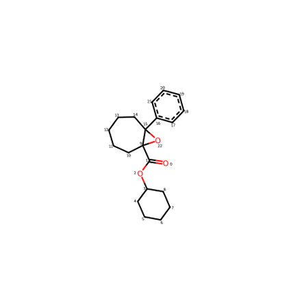 O=C(OC1CCCCC1)C12CCCCCC1(c1ccccc1)O2